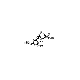 CCCCOc1cc(Cl)c(N[C@@H]2CCCCN(C(=O)OC(C)(C)C)C2)c([N+](=O)[O-])c1